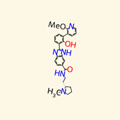 COc1ncccc1-c1cccc(-c2nc3ccc(C(=O)NCC[C@@H]4CCCN4C)cc3[nH]2)c1O